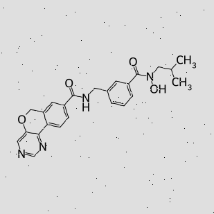 CC(C)CN(O)C(=O)c1cccc(CNC(=O)c2ccc3c(c2)COc2cncnc2-3)c1